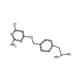 CCCC(CCC)Cc1ccc(COc2cc(Cl)nc(N)n2)cc1